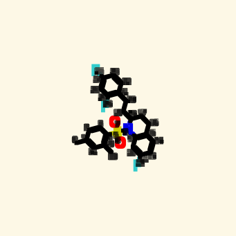 Cc1ccc(S(=O)(=O)N2c3cc(F)ccc3CCC2CCc2ccc(F)cc2F)c(C)c1